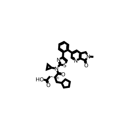 CN1Cc2cc(-c3ccccc3-c3csc(N(C(=O)[C@@H](CC(=O)O)CC4CCCC4)C4CC4)n3)cnc2C1=O